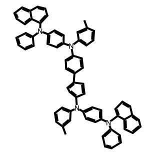 Cc1cccc(N(c2ccc(-c3ccc(N(c4ccc(N(c5ccccc5)c5cccc6ccccc56)cc4)c4cccc(C)c4)cc3)cc2)c2ccc(N(c3ccccc3)c3cccc4ccccc34)cc2)c1